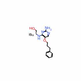 CC[C@H](C)[C@@H](CO)Nc1nc(N)ncc1OCCCc1ccccc1